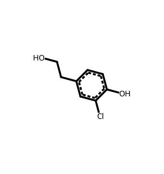 OCCc1ccc(O)c(Cl)c1